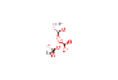 O=C([O-])[O-].O=C([O-])[O-].O=C([O-])[O-].[Lu+3].[Lu+3]